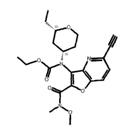 C#Cc1ccc2oc(C(=O)N(C)OC)c(N(C(=O)OCC)[C@H]3CCO[C@@H](CC)C3)c2n1